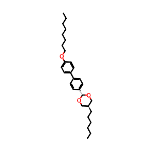 CCCCCCCCOc1ccc(-c2ccc([C@H]3OC[C@H](CCCCCC)CO3)cc2)cc1